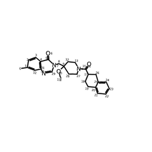 Cc1ccc2c(=O)n(CC3(OI)CCN(C(=O)C4CCc5ccccc5C4)CC3)cnc2c1